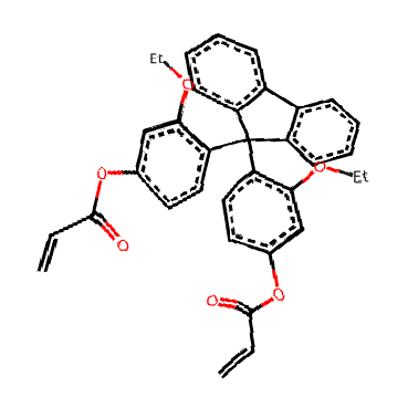 C=CC(=O)Oc1ccc(C2(c3ccc(OC(=O)C=C)cc3OCC)c3ccccc3-c3ccccc32)c(OCC)c1